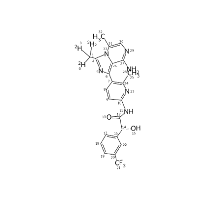 [2H]C([2H])([2H])c1nc(-c2ccc(NC(=O)[C@H](O)c3cccc(C(F)(F)F)c3)nc2C)c2c(N)ncc(C)n12